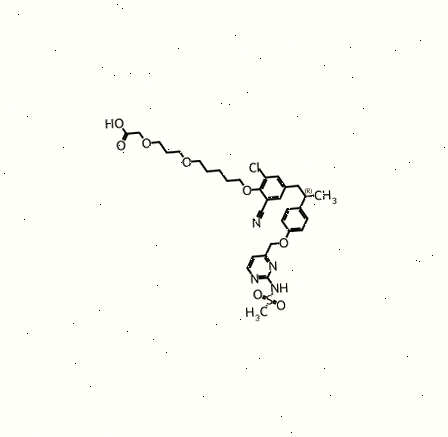 C[C@H](Cc1cc(Cl)c(OCCCCCOCCCOCC(=O)O)c(C#N)c1)c1ccc(OCc2ccnc(NS(C)(=O)=O)n2)cc1